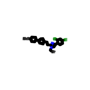 COc1ccc(-c2ccc(/C=C/c3nc(-c4ccc(Cl)cc4Cl)cn3CC(C)C)cc2)cc1